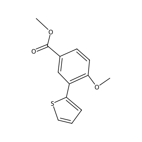 COC(=O)c1ccc(OC)c(-c2cccs2)c1